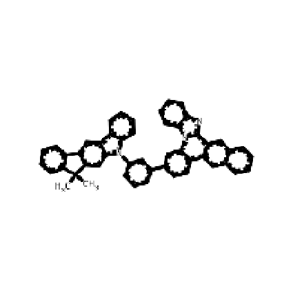 CC1(C)c2ccccc2-c2cc3c4ccccc4n(-c4cccc(-c5ccc6c7cc8ccccc8cc7c7nc8ccccc8n7c6c5)c4)c3cc21